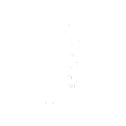 O=C(O)c1ccc(CNc2nc(-c3ccc(OCc4ccc(C5CCCCC5)cc4)cc3)cs2)cc1